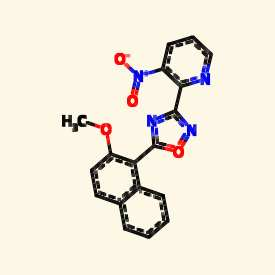 COc1ccc2ccccc2c1-c1nc(-c2ncccc2[N+](=O)[O-])no1